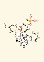 CCc1ccc(OC)c(CN[C@H]2C3CCN(CC3)[C@H]2C(c2ccccc2)c2ccccc2)c1.CS(=O)(=O)O